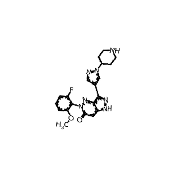 COc1cccc(F)c1-n1nc2c(-c3cnn(C4CCNCC4)c3)n[nH]c2cc1=O